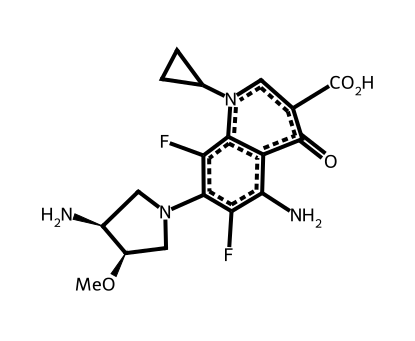 CO[C@@H]1CN(c2c(F)c(N)c3c(=O)c(C(=O)O)cn(C4CC4)c3c2F)C[C@@H]1N